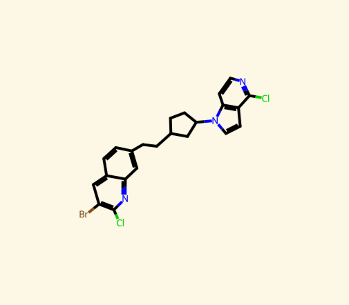 Clc1nc2cc(CCC3CCC(n4ccc5c(Cl)nccc54)C3)ccc2cc1Br